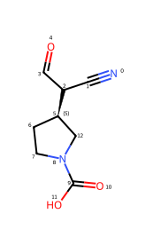 N#CC(C=O)[C@@H]1CCN(C(=O)O)C1